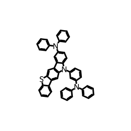 c1ccc(N(c2ccccc2)c2cccc(-n3c4ccc(N(c5ccccc5)c5ccccc5)cc4c4cc5sc6ccccc6c5cc43)c2)cc1